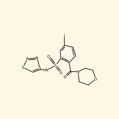 O=C(c1ccc(I)cc1S(=O)(=O)Nc1csnn1)N1CCOCC1